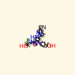 CC(C)(O)C1CCC(Nc2cc(-c3ccc4cc(C#N)cnn34)ncc2C(=O)NC[C@@H](F)C(C)(C)O)CC1